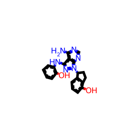 Nc1ncnc2c1c(Nc1ccccc1O)nn2C1CCc2c(O)cccc21